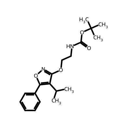 CC(C)c1c(OCCNC(=O)OC(C)(C)C)noc1-c1ccccc1